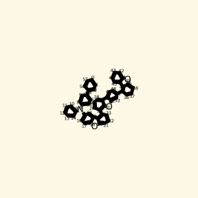 c1ccc(-c2ccc(N(c3ccccc3)c3ccc4oc5cccc(-c6cccc7c6oc6cc(-c8cccc9oc%10ccccc%10c89)ccc67)c5c4c3)cc2)cc1